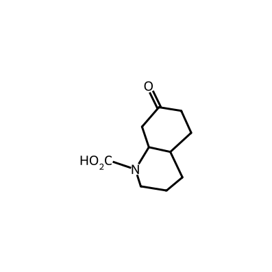 O=C1CCC2CCCN(C(=O)O)C2C1